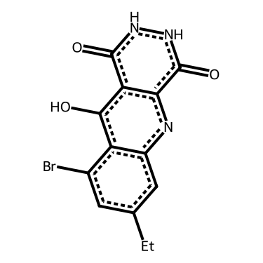 CCc1cc(Br)c2c(O)c3c(=O)[nH][nH]c(=O)c3nc2c1